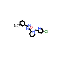 N#Cc1cccc(-c2noc(C3CCCCN3Cc3ccc(Cl)cn3)n2)c1